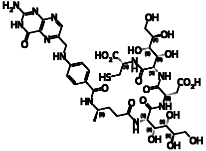 C[C@H](CCC(=O)N[C@H](C(=O)N[C@@H](CC(=O)O)C(=O)N[C@H](C(=O)N[C@H](CS)C(=O)O)[C@@H](O)[C@H](O)[C@H](O)CO)[C@@H](O)[C@H](O)[C@H](O)CO)NC(=O)c1ccc(NCc2cnc3nc(N)[nH]c(=O)c3n2)cc1